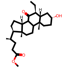 CC[C@@H]1C(=O)C2C(CC[C@@]3(C)[C@@H]2CC[C@@H]3[C@H](C)CCC(=O)OC)[C@@]2(C)CC[C@@H](O)C[C@@H]12